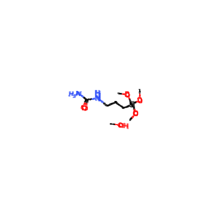 CO.CO[Si](CCCNC(N)=O)(OC)OC